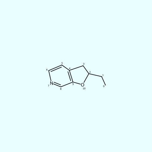 CCC1Cc2ccncc2O1